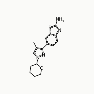 Cc1cn(C2CCCCO2)nc1-c1ccc2nc(N)sc2c1